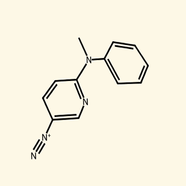 CN(c1ccccc1)c1ccc([N+]#N)cn1